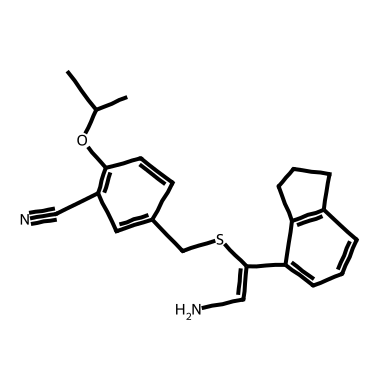 CC(C)Oc1ccc(CS/C(=C\N)c2cccc3c2CCC3)cc1C#N